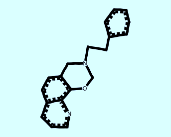 c1ccc(CCN2COc3c(ccc4cccnc34)C2)cc1